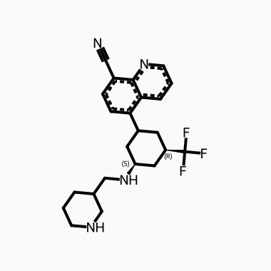 N#Cc1ccc(C2C[C@H](NCC3CCCNC3)C[C@H](C(F)(F)F)C2)c2cccnc12